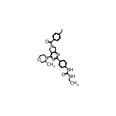 CCNC(=O)Nc1ccc(-c2nc3c(c(N4CCOC[C@@H]4C)n2)CN(C(=O)c2ccc(F)cc2)C3)cc1